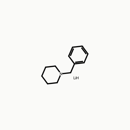 [LiH].[c]1ccc(CN2CCCCC2)cc1